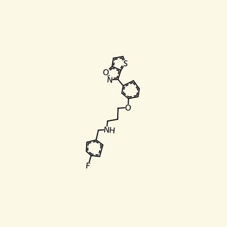 Fc1ccc(CNCCCOc2cccc(-c3noc4ccsc34)c2)cc1